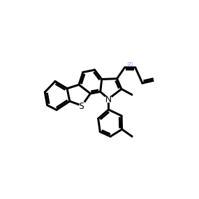 C=C/C=C\c1c(C)n(-c2cccc(C)c2)c2c1ccc1c3ccccc3sc12